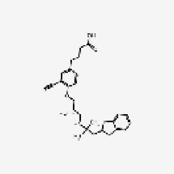 CC(C)(CC1Cc2ccccc2C1)NC[C@H](O)COc1ccc(CCCC(=O)O)cc1C#N